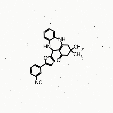 CC1(C)CC(=O)C2=C(C1)Nc1ccccc1NC2c1ccc(-c2cccc(N=O)c2)o1